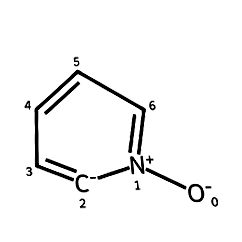 [O-][n+]1[c-]cccc1